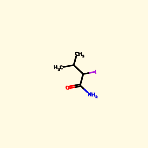 CC(C)C(I)C(N)=O